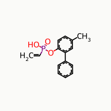 C=CP(=O)(O)Oc1ccc(C)cc1-c1ccccc1